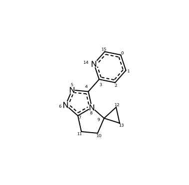 c1ccc(-c2nnc3n2C2(CC3)CC2)nc1